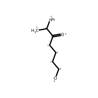 CCCC(C)C(=O)CCCC[O]